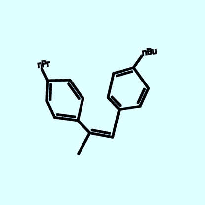 CCCCc1ccc(C=C(C)c2ccc(CCC)cc2)cc1